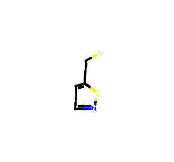 [S]Cc1ccns1